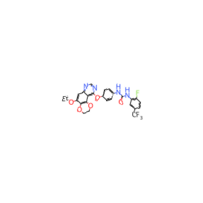 CCOc1cc2ncnc(Oc3ccc(NC(=O)Nc4cc(C(F)(F)F)ccc4F)cc3)c2c2c1OCCO2